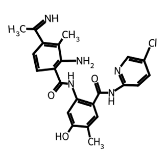 CC(=N)c1ccc(C(=O)Nc2cc(O)c(C)cc2C(=O)Nc2ccc(Cl)cn2)c(N)c1C